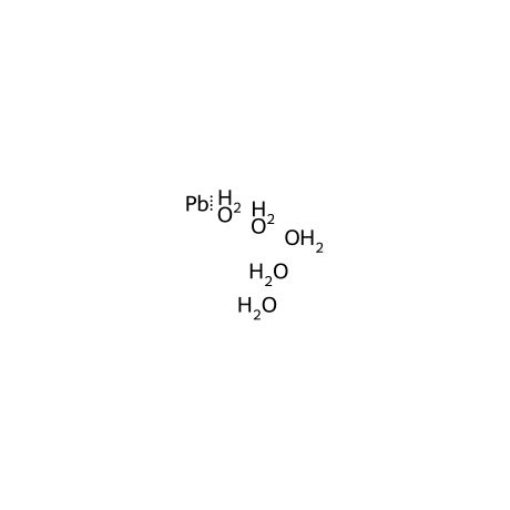 O.O.O.O.O.[Pb]